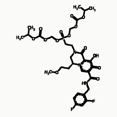 COCC[C@H]1CN(CCP(=O)(OCOC(=O)OC(C)C)OCOC(=O)OC(C)C)C(=O)c2c(O)c(=O)c(C(=O)NCc3ccc(F)cc3F)cn21